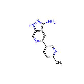 Cc1ccc(-c2cc3c(N)n[nH]c3cn2)cn1